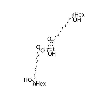 CCCCCCC(O)CCCCCCCCCCC(=O)OCC(CC)(CO)COC(=O)CCCCCCCCCCC(O)CCCCCC